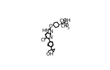 CC(C)(C(=O)O)[C@H]1CC[C@H](Oc2nc3nc(-c4ccc(C5(CO)CC5)cc4)c(Cl)cc3[nH]2)CC1